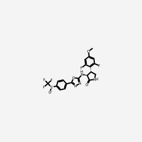 COc1cc(F)c([C@@H]2CNC(=O)[C@H]2Nc2nnc(-c3ccc([S+]([O-])C(F)(F)F)cc3)o2)c(F)c1